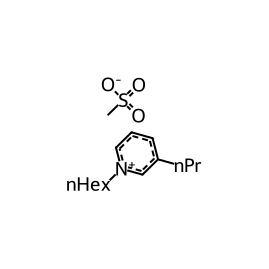 CCCCCC[n+]1cccc(CCC)c1.CS(=O)(=O)[O-]